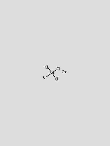 [Cl][Sn]([Cl])([Cl])[Cl].[Cs]